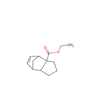 CCOC(=O)C12CCCC1C1C=CC2C1